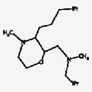 CC(C)CCCC1C(CN(C)CC(C)C)OCCN1C